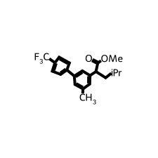 COC(=O)C(CC(C)C)c1cc(C)cc(-c2ccc(C(F)(F)F)cc2)c1